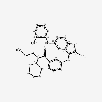 CCCN(C(=O)c1cccc(Cn2c(N)nc3ccc(Oc4ccccc4N)cc32)c1)C1CCCCC1